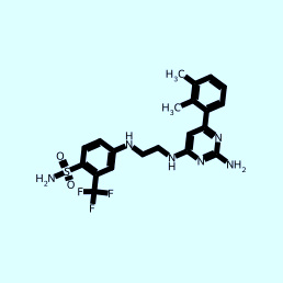 Cc1cccc(-c2cc(NCCNc3ccc(S(N)(=O)=O)c(C(F)(F)F)c3)nc(N)n2)c1C